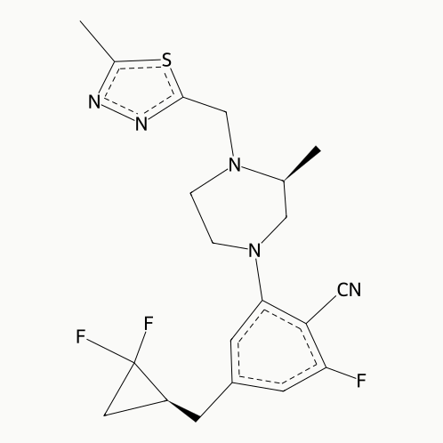 Cc1nnc(CN2CCN(c3cc(C[C@H]4CC4(F)F)cc(F)c3C#N)C[C@@H]2C)s1